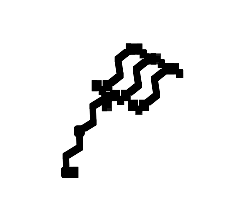 NCCN.NCCN.NCCN.OCCOCCO